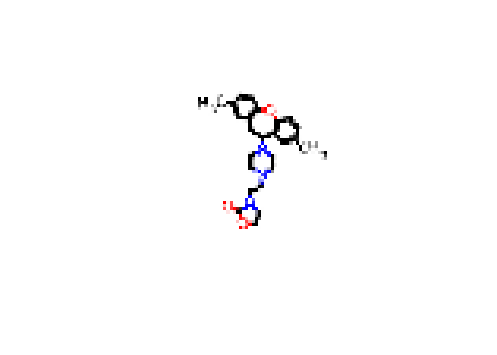 Cc1ccc2c(c1)CC(N1CCN(CCN3CCOC3=O)CC1)c1cc(C)ccc1O2